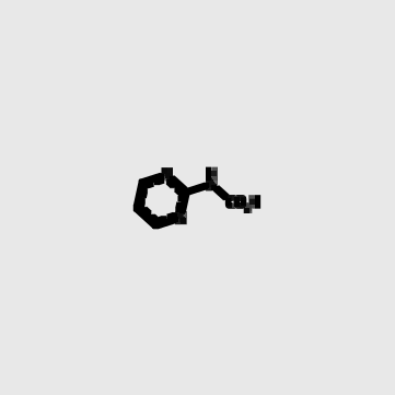 O=C(O)Nc1ncccn1